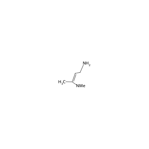 CN/C(C)=C\CN